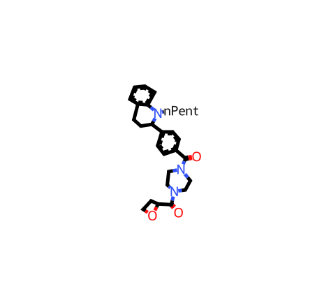 CCCCCN1c2ccccc2CCC1c1ccc(C(=O)N2CCN(C(=O)C3CCO3)CC2)cc1